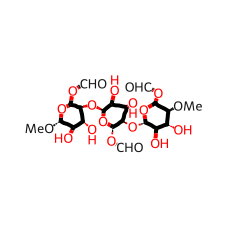 CO[C@@H]1OC(OC=O)[C@@H](O[C@@H]2O[C@@H](OC=O)[C@@H](O[C@@H]3OC(OC=O)[C@@H](OC)[C@H](O)C3O)C(O)C2O)[C@H](O)C1O